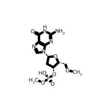 COC[C@H]1O[C@@H](n2cnc3c(=O)[nH]c(N)nc32)C[C@H]1OP(=O)(O)OC